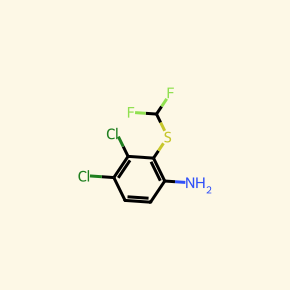 Nc1ccc(Cl)c(Cl)c1SC(F)F